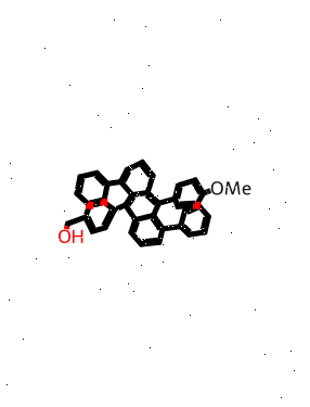 COc1ccc(-c2c3cccc(-c4ccccc4)c3c(-c3ccc(CO)cc3)c3cccc(-c4ccccc4)c23)cc1